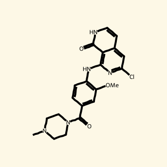 COc1cc(C(=O)N2CCN(C)CC2)ccc1Nc1nc(Cl)cc2cc[nH]c(=O)c12